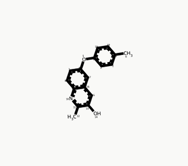 Cc1ccc(Oc2ccc3nc(C)c(O)cc3c2)cc1